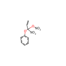 C=CC(Oc1ccccc1)(O[N+](=O)[O-])[N+](=O)[O-]